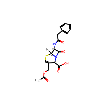 CC(=O)OCC1=CS[C@@H]2[C@H](NC(=O)Cc3ccccc3)C(=O)N2C1C(=O)O